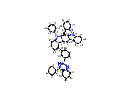 c1ccc(-c2nc(-c3cccc(-c4cccc5c4c4cc6c7ccccc7n7c8ccccc8c(c4n5-c4ccccc4)c67)c3)nc3ccccc23)cc1